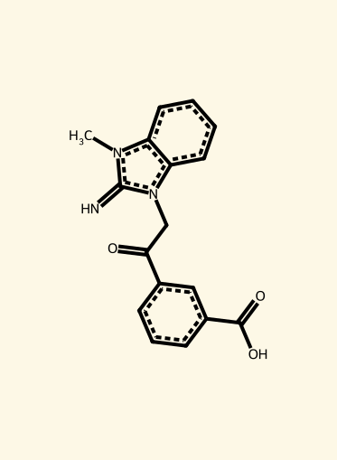 Cn1c(=N)n(CC(=O)c2cccc(C(=O)O)c2)c2ccccc21